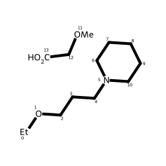 CCOCCCN1CCCCC1.COCC(=O)O